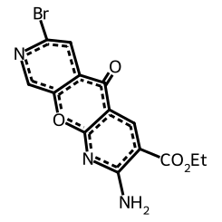 CCOC(=O)c1cc2c(=O)c3cc(Br)ncc3oc2nc1N